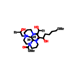 CCC(O)C[N+]12CCC[N+]3(CC(O)CC)CC[N+]4(C(=O)OC)CCC[N+](CC(O)CCCCOC)(CC1)[C@@H]4[C@H]23